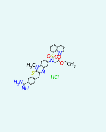 CCOC(=O)CN(c1ccc2c(c1)nc(Cc1ccc(C(=N)N)cc1)c(=S)n2C)S(=O)(=O)c1cccc2cccnc12.Cl